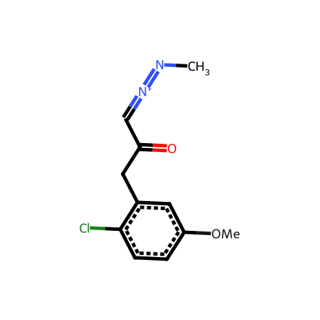 CN=[N+]=CC(=O)Cc1cc(OC)ccc1Cl